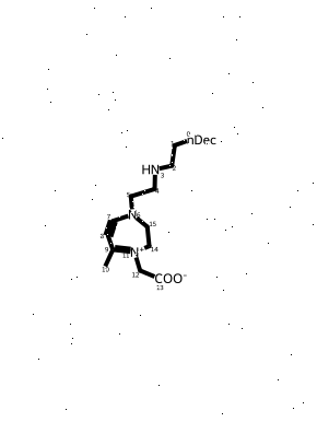 CCCCCCCCCCCCNCCN1C#CC(C)=[N+](CC(=O)[O-])CC1